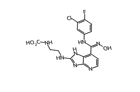 O=C(O)NCCNc1nc2nccc(/C(=N\O)Nc3ccc(F)c(Cl)c3)c2[nH]1